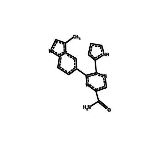 Cc1cnc2ccc(-c3nc(C(N)=O)cnc3-c3ccc[nH]3)cn12